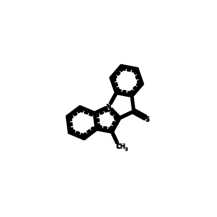 Cc1c2n(c3ccccc13)-c1ccccc1C2=S